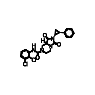 O=C(Nc1cccc(Cl)c1Cl)N1CCN2C(=O)N([C@@H]3C[C@H]3c3ccccc3)C(=O)[C@H]2C1